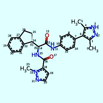 Cc1n[nH]c(C)c1-c1ccc(NC(=O)[C@@H](NC(=O)c2ccnn2C)[C@H]2CCc3ccccc32)cc1